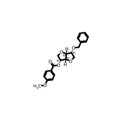 COc1ccc(C(=O)O[C@@H]2CO[C@H]3[C@@H]2OC[C@H]3OCc2ccccc2)cc1